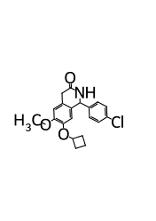 COc1cc2c(cc1OC1CCC1)C(c1ccc(Cl)cc1)NC(=O)C2